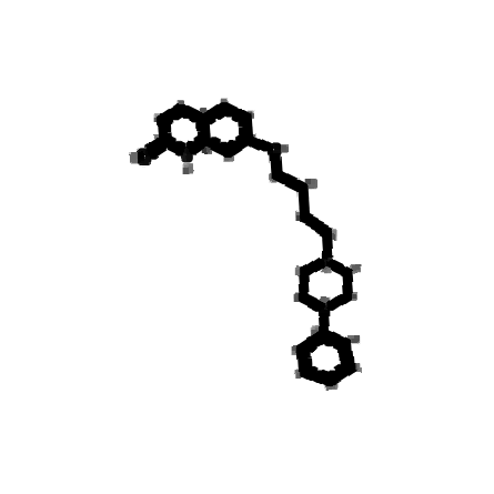 O=c1ccc2ccc(OCCCCN3CCN(c4ccccc4)CC3)cc2o1